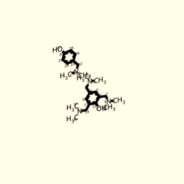 CN(C)Cc1cc(CN(C)C)c(O)c(CN(C)C)c1.CN(C)Cc1ccc(O)cc1